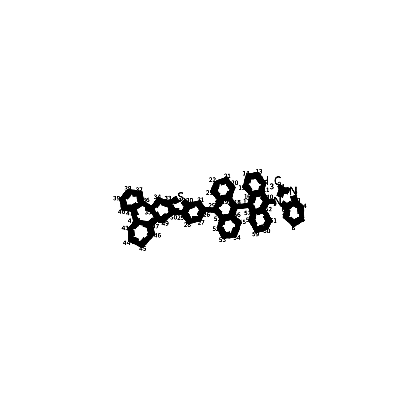 Cc1nc2ccccc2n1-c1c2ccccc2c(-c2c3ccccc3c(-c3ccc4c(c3)sc3cc5c6ccccc6c6ccccc6c5cc34)c3ccccc23)c2ccccc12